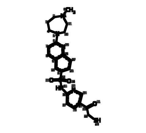 CN1CCCN(c2ccc3cc(S(=O)(=O)Nc4ccc(C(=O)CS)cn4)ccc3n2)CC1